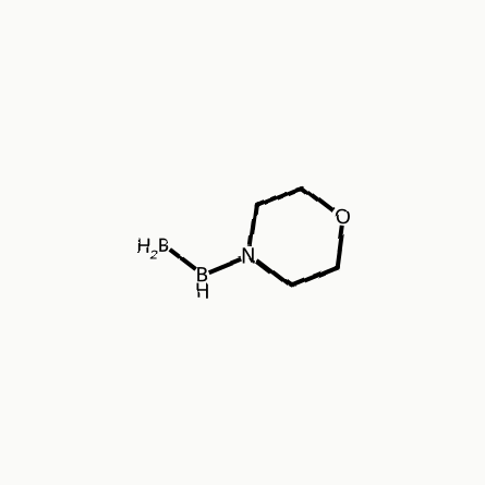 BBN1CCOCC1